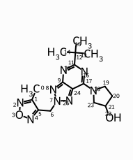 Cc1nonc1Cn1nc2nc(C(C)(C)C)nc(N3CCC(O)C3)c2n1